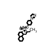 CCCCc1c(S(=O)(=O)NOc2ccc(-n3ccnc3)cc2)ccc2ccccc12